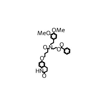 COc1ccc(CCN(CCOC(=O)c2ccccc2)C(=O)CCCOc2ccc3c(c2)CCC(=O)N3)cc1OC